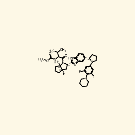 COC(=O)NC(C(=O)N1[C@H](c2nc3cc([C@H]4CCCN4c4cc(F)c(N5CCCCC5)c(F)c4)ccc3[nH]2)C[C@@H]2CCC[C@@H]21)C(C)C